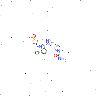 NC(=O)CN1CCN(Cc2nc(-c3cn(CC4CCS(=O)(=O)CC4)c4c(Cl)cccc34)ns2)CC1